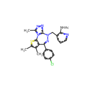 CC(=O)Nc1ncccc1CN1N=C(c2ccc(Cl)cc2)c2c(sc(C)c2C)-n2c(C)nnc21